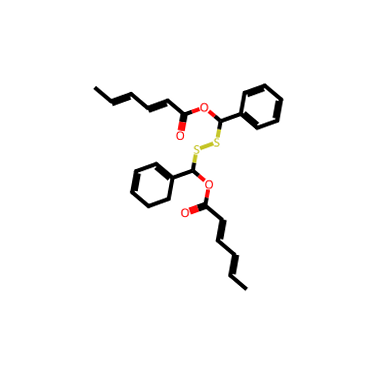 C/C=C/C=C/C(=O)OC(SSC(OC(=O)/C=C/C=C/C)c1ccccc1)C1=CC=CCC1